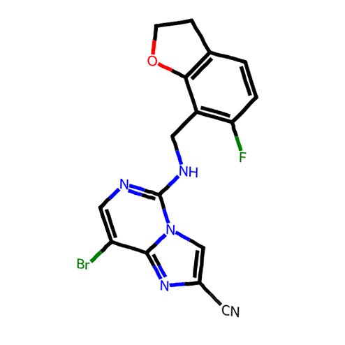 N#Cc1cn2c(NCc3c(F)ccc4c3OCC4)ncc(Br)c2n1